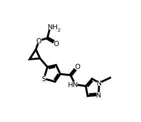 Cn1cc(NC(=O)c2csc(C3CC3OC(N)=O)c2)cn1